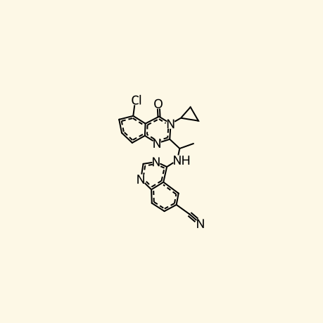 CC(Nc1ncnc2ccc(C#N)cc12)c1nc2cccc(Cl)c2c(=O)n1C1CC1